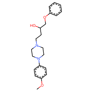 COc1ccc(N2CCN(CCC(O)COc3ccccc3)CC2)cc1